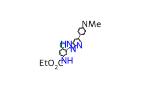 CCOC(=O)Nc1ccc(Cl)c(-c2nc3ncc(-c4ccc(NC)cc4)cc3[nH]2)c1